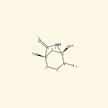 O=C1N[C@H]2C[C@@H]1CCC2I